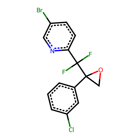 FC(F)(c1ccc(Br)cn1)C1(c2cccc(Cl)c2)CO1